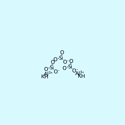 O=[Si]([O-])[O-].O=[Si]([O-])[O-].O=[Si]([O-])[O-].[Al+3].[Al+3].[KH].[KH]